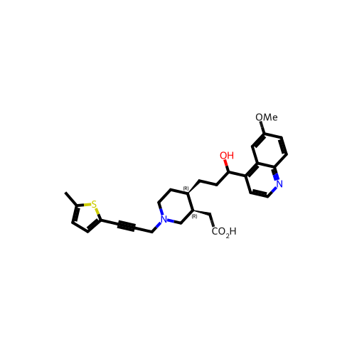 COc1ccc2nccc(C(O)CC[C@@H]3CCN(CC#Cc4ccc(C)s4)C[C@@H]3CC(=O)O)c2c1